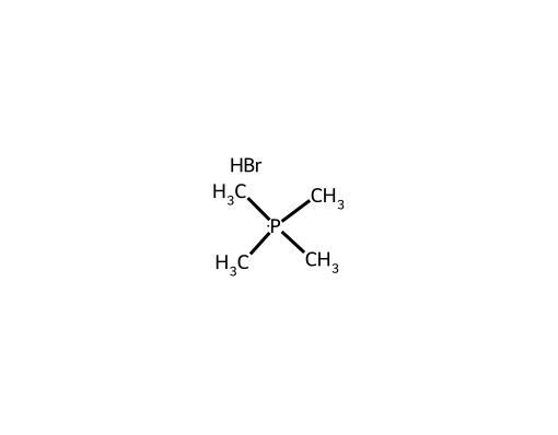 Br.C[P](C)(C)C